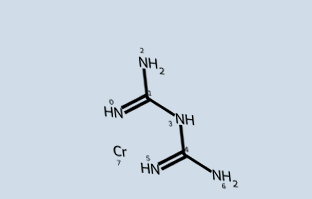 N=C(N)NC(=N)N.[Cr]